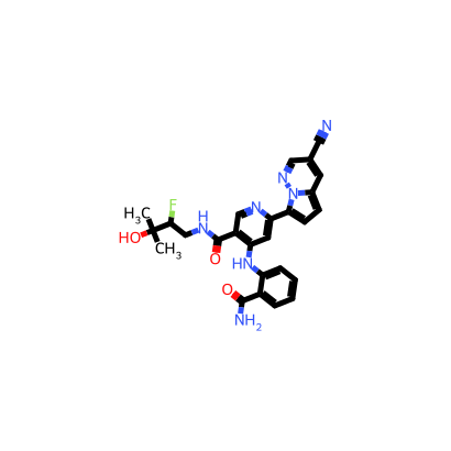 CC(C)(O)C(F)CNC(=O)c1cnc(-c2ccc3cc(C#N)cnn23)cc1Nc1ccccc1C(N)=O